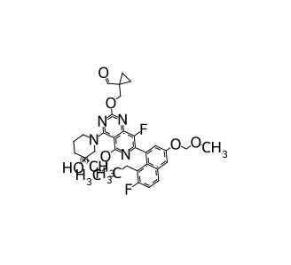 CCOc1nc(-c2cc(OCOC)cc3ccc(F)c(CC)c23)c(F)c2nc(OCC3(C=O)CC3)nc(N3CCC[C@@](C)(O)C3)c12